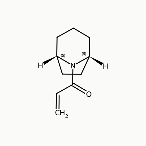 C=CC(=O)N1[C@@H]2CCC[C@H]1CC2